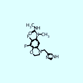 CNC(=O)N(C)c1cc2c(c(F)c1F)OCCN2Cc1c[nH]cn1